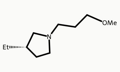 CC[C@H]1CCN(CCCOC)C1